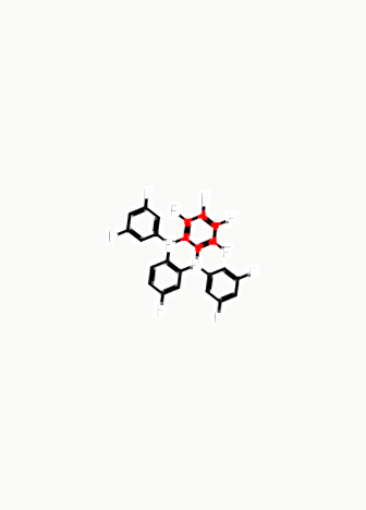 Fc1cc(F)cc(P(c2cc(F)cc(F)c2)c2ccc(F)cc2P(c2cc(F)cc(F)c2)c2cc(F)cc(F)c2)c1